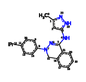 Cc1cc(NC2=NN(c3ccc(C(C)C)cc3)Cc3ccccc32)[nH]n1